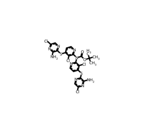 CC(C)(C)OC(=O)N(c1nccc(Sc2ncc(Cl)nc2N)c1Cl)c1nccc(Sc2ncc(Cl)nc2N)c1Cl